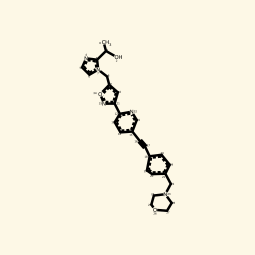 CC(O)c1nccn1Cc1cc(-c2ccc(C#Cc3ccc(CN4CCOCC4)cc3)cn2)no1